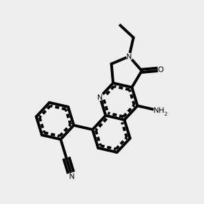 CCN1Cc2nc3c(-c4ccccc4C#N)cccc3c(N)c2C1=O